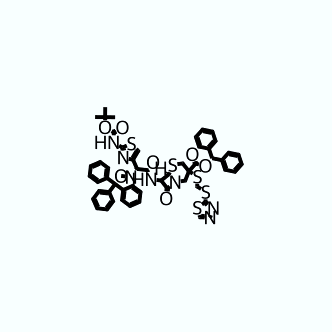 CC(C)(C)OC(=O)Nc1nc(C(=NOC(c2ccccc2)(c2ccccc2)c2ccccc2)C(=O)NC2C(=O)N3CC(SCSc4nncs4)(C(=O)OC(c4ccccc4)c4ccccc4)CS[C@H]23)cs1